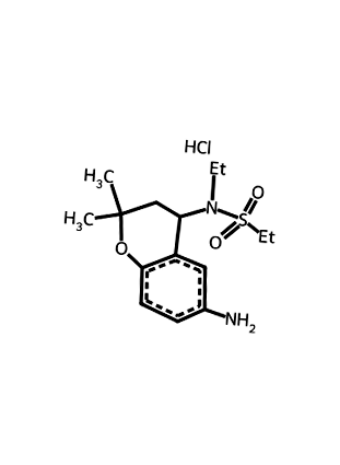 CCN(C1CC(C)(C)Oc2ccc(N)cc21)S(=O)(=O)CC.Cl